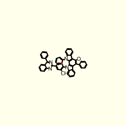 Cc1cc(-c2nc(-c3ccccc3)c3ccccc3n2)ccc1-n1c2ccccc2c2c3c4ccccc4oc3c3c4ccccc4n(-c4ccccc4)c3c21